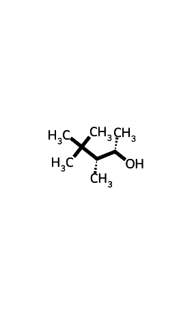 C[C@H](O)[C@H](C)C(C)(C)C